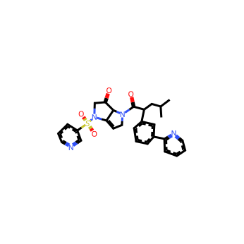 CC(C)CC(C(=O)N1CC=C2C1C(=O)CN2S(=O)(=O)c1cccnc1)c1cccc(-c2ccccn2)c1